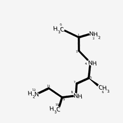 CC(N)CN[C@@H](C)CNC(C)CN